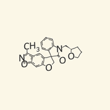 Cc1noc2cc3c(cc12)C1(CO3)C(=O)N(C[C@H]2CCCO2)c2ccccc21